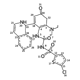 CN(C)C1=C(NC(=O)NS(=O)(=O)c2ccc(Cl)s2)C(C2NC=Cc3ccccc32)=CC(=O)C1